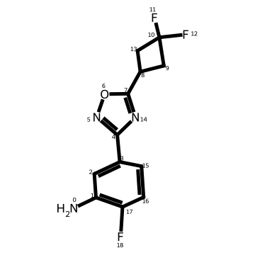 Nc1cc(-c2noc(C3CC(F)(F)C3)n2)ccc1F